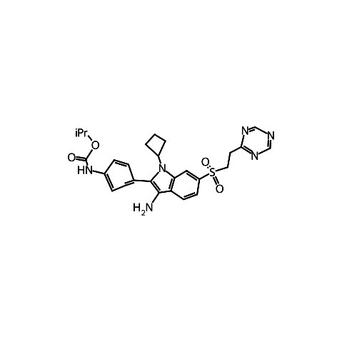 CC(C)OC(=O)Nc1ccc(-c2c(N)c3ccc(S(=O)(=O)CCc4ncncn4)cc3n2C2CCC2)cc1